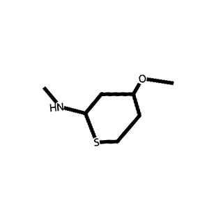 CNC1CC(OC)CCS1